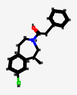 C[C@@H]1CN(C(=O)Cc2ccccc2)CCc2ccc(Cl)cc21